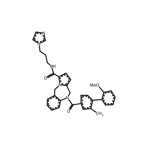 COc1ccccc1-c1ccc(C(=O)N2Cc3ccc(C(=O)NCCCn4ccnc4)n3Cc3ccccc32)cc1C